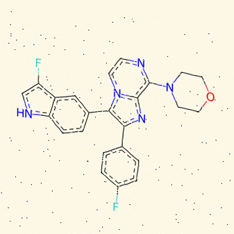 Fc1ccc(-c2nc3c(N4CCOCC4)nccn3c2-c2ccc3[nH]cc(F)c3c2)cc1